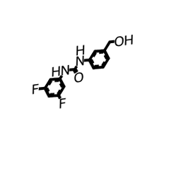 O=C(Nc1cc(F)cc(F)c1)Nc1cccc(CO)c1